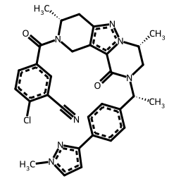 C[C@@H]1Cc2nn3c(c2CN1C(=O)c1ccc(Cl)c(C#N)c1)C(=O)N([C@H](C)c1ccc(-c2ccn(C)n2)cc1)C[C@H]3C